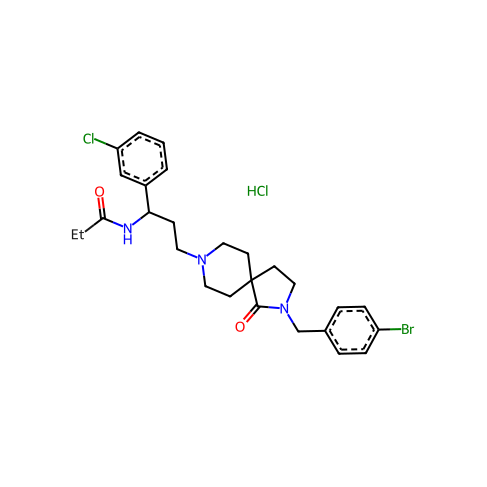 CCC(=O)NC(CCN1CCC2(CC1)CCN(Cc1ccc(Br)cc1)C2=O)c1cccc(Cl)c1.Cl